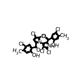 Cc1cc(O)c(C(=O)c2[nH]c(Cl)c(Cl)c2-n2c(C(=O)c3cc(Cl)c(C)cc3O)cc(Cl)c2Cl)cc1Cl